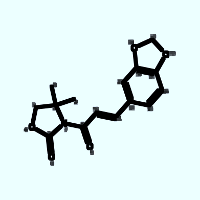 CC1(C)COC(=O)N1C(=O)C=Cc1ccc2c(c1)OCO2